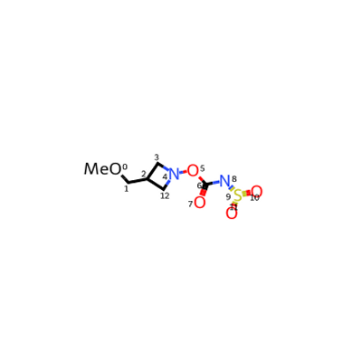 COCC1CN(OC(=O)N=S(=O)=O)C1